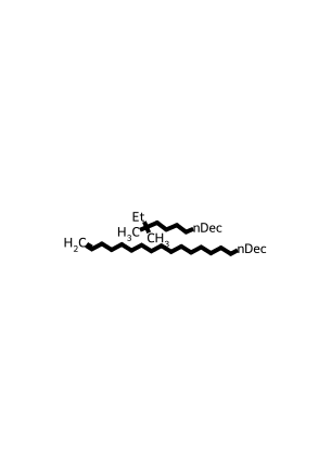 C=CCCCCCCCCCCCCCCCCCCCCCCCC.CCCCCCCCCCCCCCC(C)(C)CC